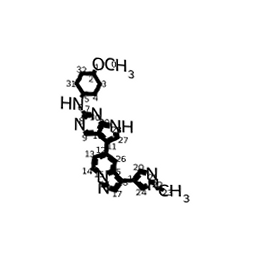 COC1CCC(Nc2ncc3c(-c4ccn5ncc(-c6cnn(C)c6)c5c4)c[nH]c3n2)CC1